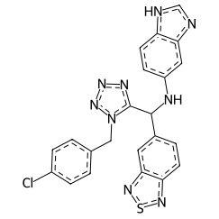 Clc1ccc(Cn2nnnc2C(Nc2ccc3[nH]cnc3c2)c2ccc3nsnc3c2)cc1